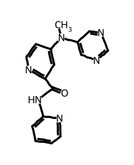 CN(c1cncnc1)c1ccnc(C(=O)Nc2ccccn2)c1